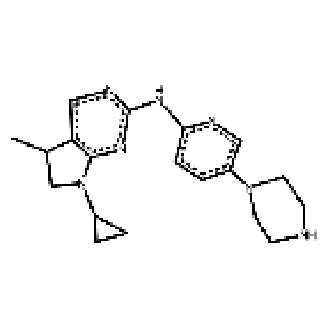 CC1CN(C2CC2)c2nc(Nc3ccc(N4CCNCC4)cn3)ncc21